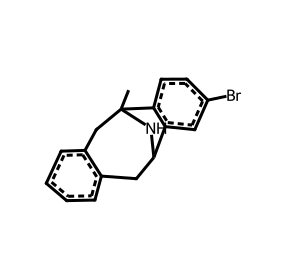 CC12Cc3ccccc3CC(N1)c1cc(Br)ccc12